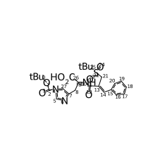 CC(C)(C)OC(=O)n1cnc(C[C@H](NC(=O)C(=Cc2ccccc2)CS(=O)(=O)C(C)(C)C)C(=O)O)c1